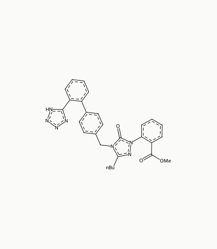 CCCCc1nn(-c2ccccc2C(=O)OC)c(=O)n1Cc1ccc(-c2ccccc2-c2nnn[nH]2)cc1